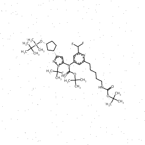 CC(C)(C)OC(=O)NCCCCCc1cc(N(C(=O)OC(C)(C)C)c2cc([C@H]3CC[C@@H](O[Si](C)(C)C(C)(C)C)C3)nn2C(C)(C)C)cc(C(F)F)n1